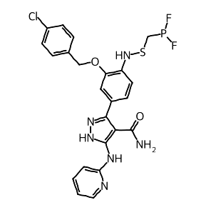 NC(=O)c1c(-c2ccc(NSCP(F)F)c(OCc3ccc(Cl)cc3)c2)n[nH]c1Nc1ccccn1